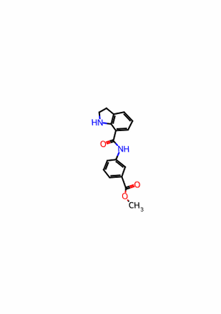 COC(=O)c1cccc(NC(=O)c2cccc3c2NCC3)c1